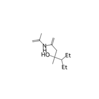 C=C(C)NC(=C)CC(C)(O)C(CC)CC